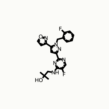 CC(C)(O)CNc1nc(-c2cc(-c3ccon3)n(Cc3ccccc3F)n2)ncc1F